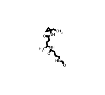 CCC1(NC(=O)CCC(C)NC(=O)CCCNC=O)CC1